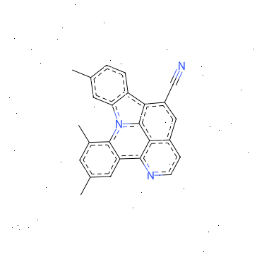 Cc1cc(C)c2c(c1)c1nccc3cc(C#N)c4c5ccc(C)cc5n2c4c31